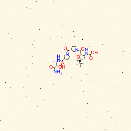 C[C@H](NC(=O)[C@@H]1CCN(C(=O)[C@H]2CCN(C(=O)[C@H](O[Si](C)(C)C(C)(C)C)[C@H](C)NC(=O)O)C2)C1)[C@@H](O)C(N)=O